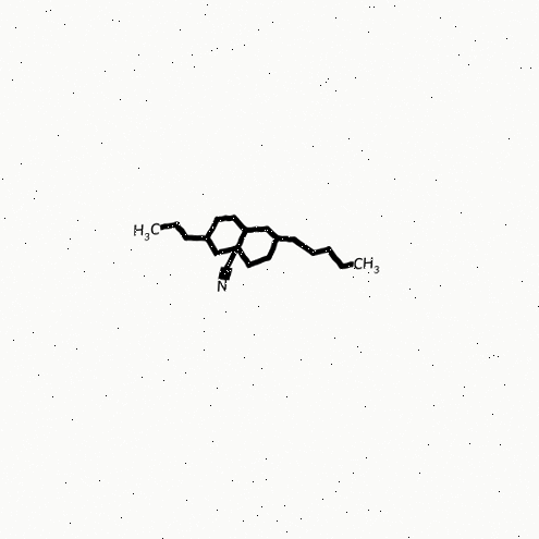 CCCCCC1CCC2(C#N)CC(CCC)CCC2C1